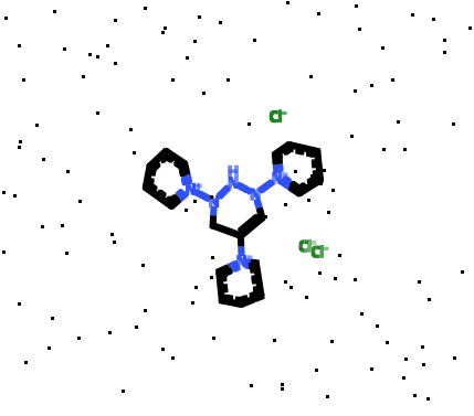 C1=C([n+]2ccccc2)CN([n+]2ccccc2)NN1[n+]1ccccc1.[Cl-].[Cl-].[Cl-]